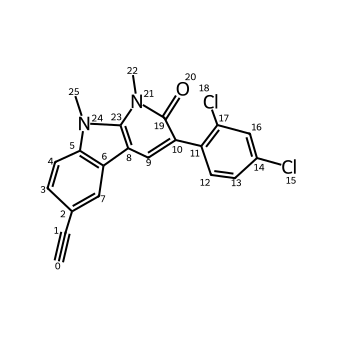 C#Cc1ccc2c(c1)c1cc(-c3ccc(Cl)cc3Cl)c(=O)n(C)c1n2C